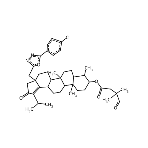 CC(C)C1=C2C3CCC4C(C)(CCC5C(C)C(OC(=O)CC(C)(C)C=O)CCC54C)C3CCC2(Cc2nnc(-c3ccc(Cl)cc3)o2)CC1=O